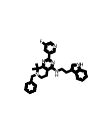 CC1(C)c2nc(-c3cncc(F)c3)nc(NCCc3c[nH]c4ccccc34)c2CCN1Cc1ccccc1